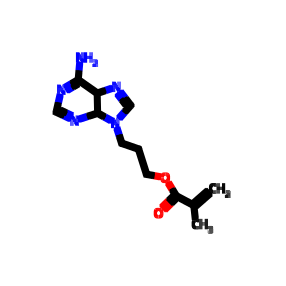 C=C(C)C(=O)OCCCN1C=NC2C(N)=NC=NC21